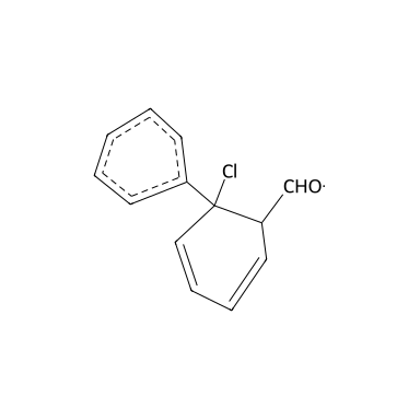 O=[C]C1C=CC=CC1(Cl)c1ccccc1